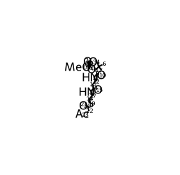 COP1(=O)OCC(C)(C)[C@H](C(=O)NCCC(=O)NCCSC(=O)CC(C)=O)O1